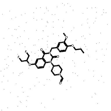 CCCOc1ccc(Cn2c(=O)c3cc(OC(CF)CF)ccc3n(C3CCN(C=O)CC3)c2=O)cc1OC